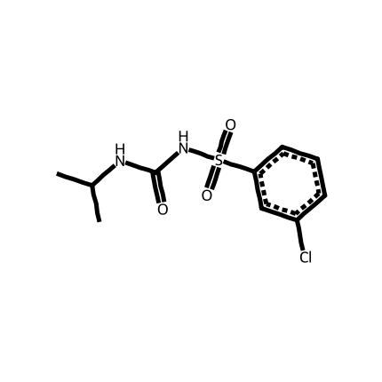 CC(C)NC(=O)NS(=O)(=O)c1cccc(Cl)c1